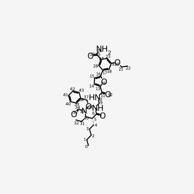 CCCCC[C@@H](C(=O)NCNC(=O)c1ccc(-c2cc(OCC)cc(C(N)=O)c2)o1)[C@@H](CC)N(C=O)OCc1ccccc1